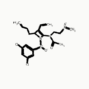 C=CC1=C(N(CCNC)C(C)=O)N([S+]([O-])c2cc(Cl)cc(Cl)c2)C1CCCC